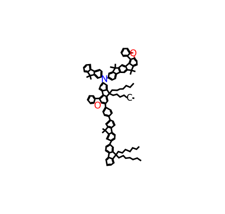 CCCCCCCC1(CCCCCCC)c2ccccc2-c2ccc(-c3ccc4c(c3)C(C)(C)c3cc(-c5ccc(-c6cc7c(c8c6oc6ccccc68)-c6ccc(N(c8ccc9c(c8)C(C)(C)c8ccccc8-9)c8ccc9c(c8)C(C)(C)c8cc%10c(cc8-9)C(C)(C)c8ccc9oc%11ccccc%11c9c8-%10)cc6C7(CCCCCCC)CCCCCCC)cc5)ccc3-4)cc21